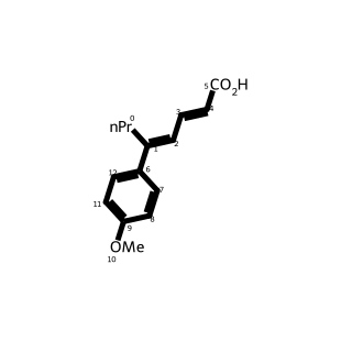 CCC/C(=C\C=C\C(=O)O)c1ccc(OC)cc1